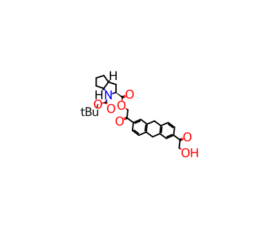 CC(C)(C)OC(=O)N1[C@@H]2CCC[C@@H]2C[C@H]1C(=O)OCC(=O)c1ccc2c(c1)Cc1ccc(C(=O)CO)cc1C2